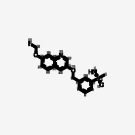 CS(=N)(=O)c1cccc(COc2cnc3cc(OCF)ccc3c2)c1